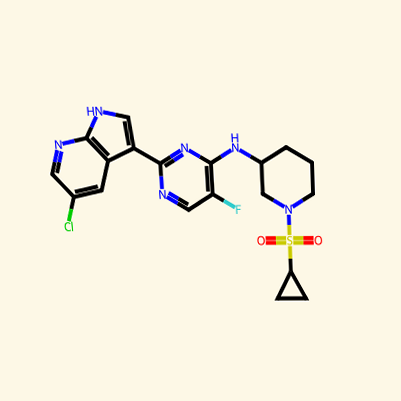 O=S(=O)(C1CC1)N1CCCC(Nc2nc(-c3c[nH]c4ncc(Cl)cc34)ncc2F)C1